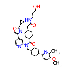 COc1ccc([C@H]2CC[C@H](CN(c3cc(-c4coc(C5CC5)n4)ccn3)C(=O)[C@H]3CC[C@H](CC(=O)NCCCO)CC3)CC2)nc1C